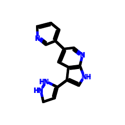 C1=C(c2c[nH]c3ncc(-c4cccnc4)cc23)NNC1